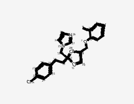 Cc1ccccc1OCC1COC(CCc2ccc(Cl)cc2)(Cn2ccnc2)O1